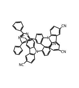 N#Cc1ccc2c(c1)c1cc(C#N)ccc1n2-c1ccc(-c2nc(-c3ccccc3)nc(-c3ccccc3)n2)cc1-c1c(C#N)cccc1-n1c2ccc(C#N)cc2c2cc(C#N)ccc21